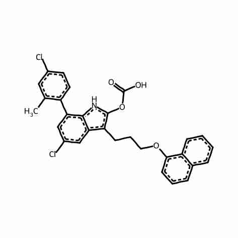 Cc1cc(Cl)ccc1-c1cc(Cl)cc2c(CCCOc3cccc4ccccc34)c(OC(=O)O)[nH]c12